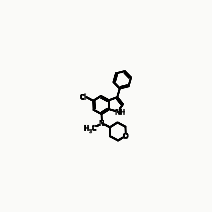 CN(c1cc(Cl)cc2c(-c3ccccc3)c[nH]c12)C1CCOCC1